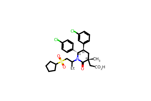 CCC(CS(=O)(=O)C1CCCC1)N1C(=O)[C@@](C)(CC(=O)O)C[C@H](c2cccc(Cl)c2)[C@H]1c1ccc(Cl)cc1